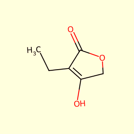 CCC1=C(O)COC1=O